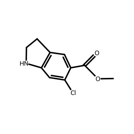 COC(=O)c1cc2c(cc1Cl)NCC2